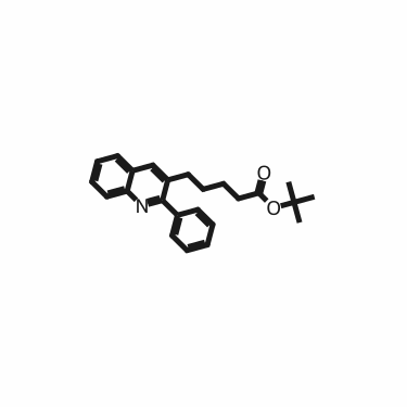 CC(C)(C)OC(=O)CCCCc1cc2ccccc2nc1-c1ccccc1